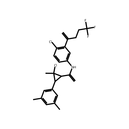 C=C(CCC(F)(F)F)c1cc(NC(=C)C2C(c3cc(C)cc(C)c3)C2(C)Cl)ccc1Cl